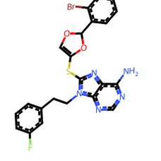 Nc1ncnc2c1nc(SC1=COC(c3ccccc3Br)O1)n2CCc1cccc(F)c1